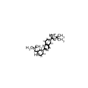 CN(C)CC1CN(c2ncc3c(n2)CCN(C(=O)OC(C)(C)C)C3)CCN1